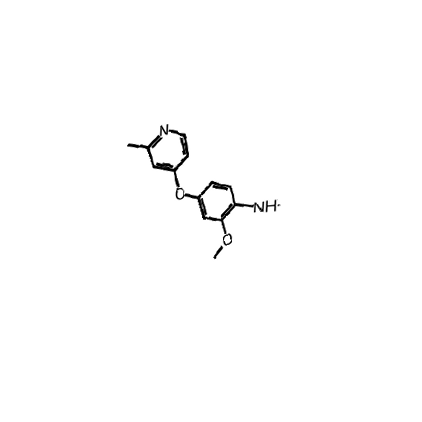 COc1cc(Oc2ccnc(C)c2)ccc1[NH]